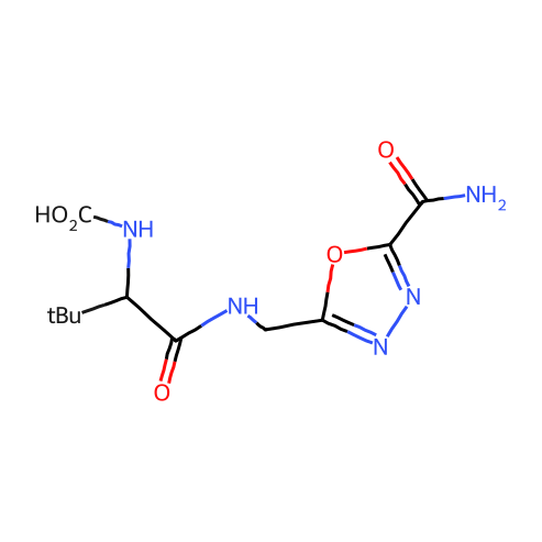 CC(C)(C)C(NC(=O)O)C(=O)NCc1nnc(C(N)=O)o1